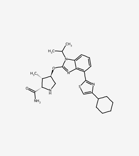 CC(C)n1c(O[C@H]2CN[C@H](C(N)=O)[C@@H]2C)nc2c(-c3nc(C4CCCCC4)cs3)cccc21